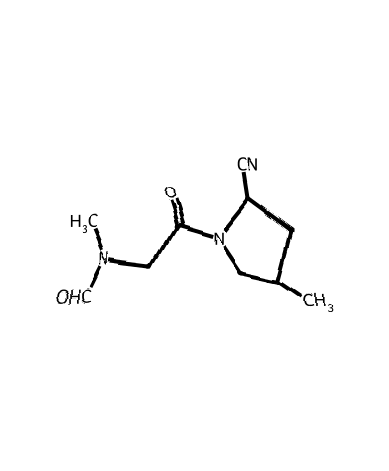 CC1CC(C#N)N(C(=O)CN(C)C=O)C1